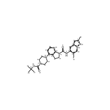 Cc1cc2cc(NC(=O)N3CCc4c(N5CCN(C(=O)OC(C)(C)C)CC5)ccnc43)c(F)cn2n1